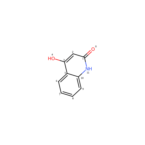 O=c1cc(O)c2c[c]ccc2[nH]1